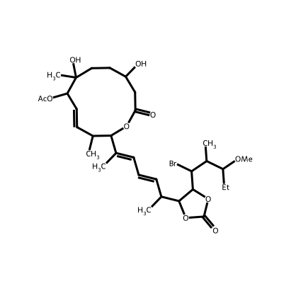 CCC(OC)C(C)C(Br)C1OC(=O)OC1C(C)/C=C/C=C(\C)C1OC(=O)CC(O)CCC(C)(O)C(OC(C)=O)/C=C/C1C